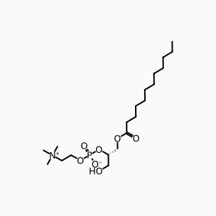 CCCCCCCCCCCC(=O)OC[C@H](CO)OP(=O)([O-])OCC[N+](C)(C)C